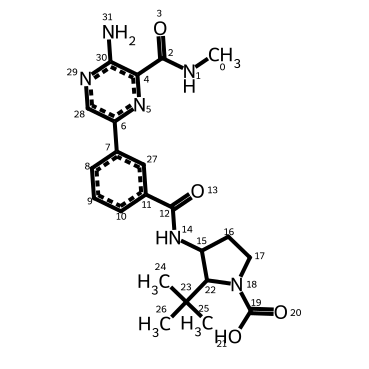 CNC(=O)c1nc(-c2cccc(C(=O)NC3CCN(C(=O)O)C3C(C)(C)C)c2)cnc1N